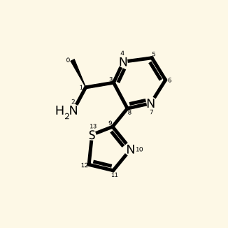 C[C@H](N)c1nccnc1-c1nccs1